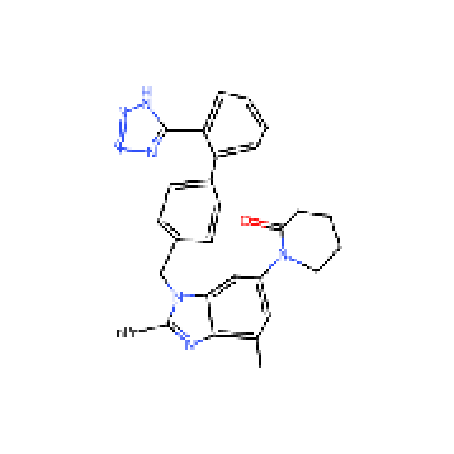 CCCc1nc2c(C)cc(N3CCCCC3=O)cc2n1Cc1ccc(-c2ccccc2-c2nnn[nH]2)cc1